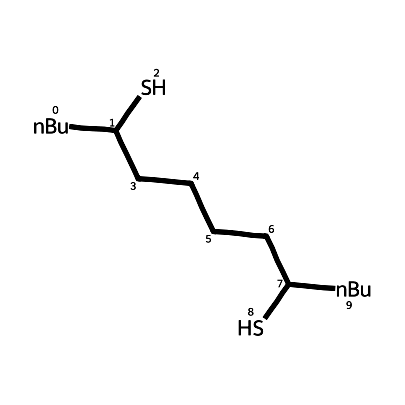 CCCCC(S)CCCCC(S)CCCC